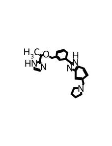 CC(OCC1=CC(c2nc3cc(CN4CCCC4)ccc3[nH]2)CC=C1)c1ncc[nH]1